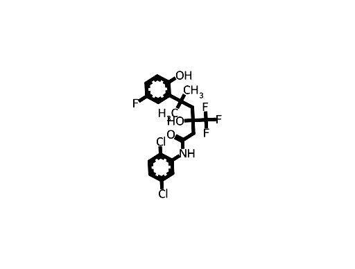 CC(C)(CC(O)(CC(=O)Nc1cc(Cl)ccc1Cl)C(F)(F)F)c1cc(F)ccc1O